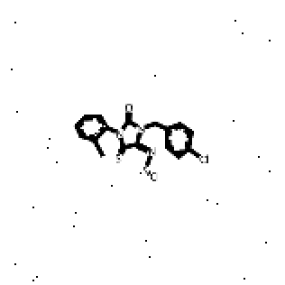 Cc1ccccc1N1C(=O)N(Cc2ccc(Cl)cc2)C(=NSCl)C1=S